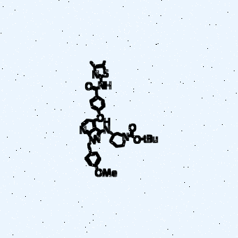 COc1ccc(Cn2nc(N[C@@H]3CCCN(C(=O)OC(C)(C)C)C3)c3c(Oc4ccc(C(=O)Nc5nc(C)c(C)s5)cc4)ccnc32)cc1